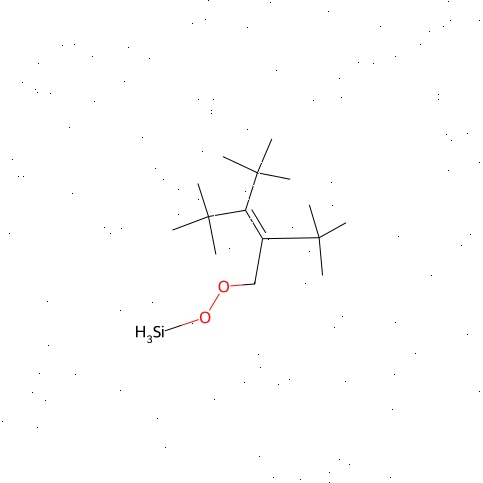 CC(C)(C)C(COO[SiH3])=C(C(C)(C)C)C(C)(C)C